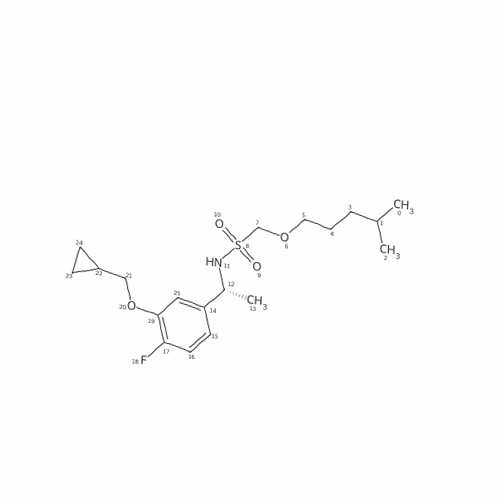 CC(C)CCCOCS(=O)(=O)N[C@H](C)c1ccc(F)c(OCC2CC2)c1